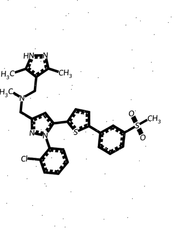 Cc1n[nH]c(C)c1CN(C)Cc1cc(-c2ccc(-c3cccc(S(C)(=O)=O)c3)s2)n(-c2ccccc2Cl)n1